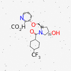 O=C(O)c1ncccc1OC[C@H]1C[C@H](O)CN1C(=O)C1CCC(C(F)(F)F)CC1